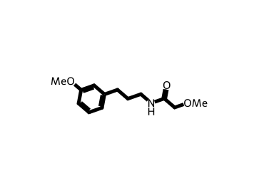 COCC(=O)NCCCc1cccc(OC)c1